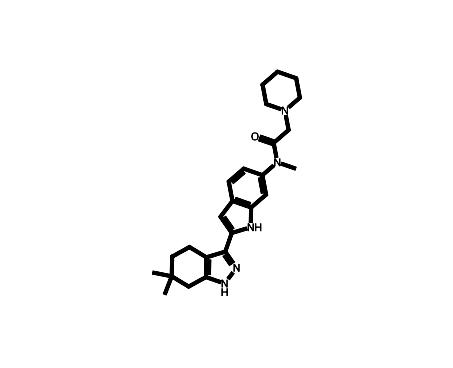 CN(C(=O)CN1CCCCC1)c1ccc2cc(-c3n[nH]c4c3CCC(C)(C)C4)[nH]c2c1